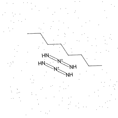 CCCCCCCC.N=[N+]=N.N=[N+]=N